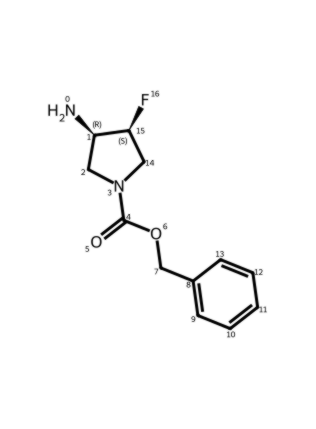 N[C@@H]1CN(C(=O)OCc2ccccc2)C[C@@H]1F